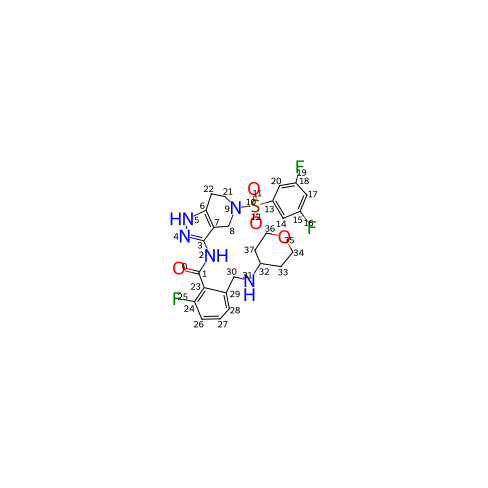 O=C(Nc1n[nH]c2c1CN(S(=O)(=O)c1cc(F)cc(F)c1)CC2)c1c(F)cccc1CNC1CCOCC1